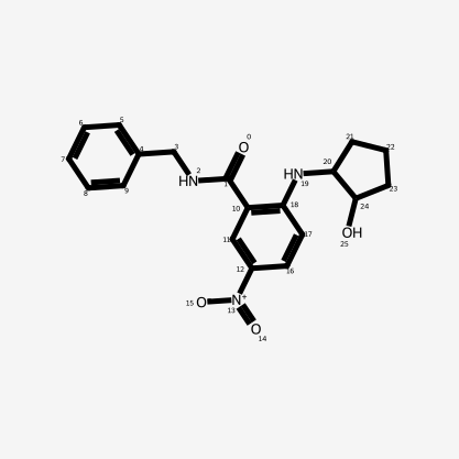 O=C(NCc1ccccc1)c1cc([N+](=O)[O-])ccc1NC1CCCC1O